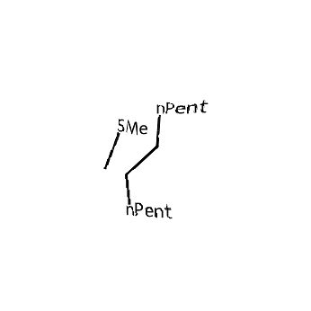 CCCCCCCCCCCC.CSC